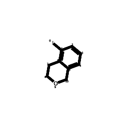 Ic1cccc2c1CCOC2